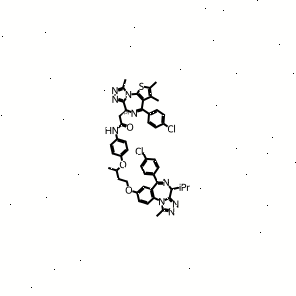 Cc1sc2c(c1C)C(c1ccc(Cl)cc1)=N[C@@H](CC(=O)Nc1ccc(OC(C)CCOc3ccc4c(c3)C(c3ccc(Cl)cc3)=NC(C(C)C)c3nnc(C)n3-4)cc1)c1nnc(C)n1-2